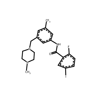 CN1CCN(Cc2cc(NC(=O)c3cc(I)ccc3F)cc(C(F)(F)F)c2)CC1